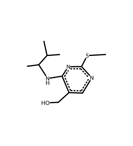 CSc1ncc(CO)c(NC(C)C(C)C)n1